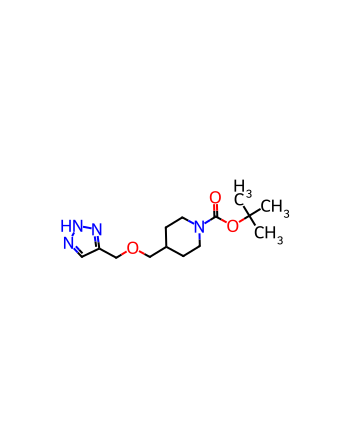 CC(C)(C)OC(=O)N1CCC(COCc2cn[nH]n2)CC1